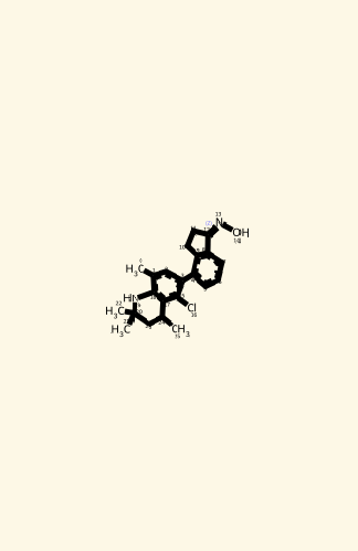 Cc1cc(-c2cccc3c2CC/C3=N/O)c(Cl)c2c1NC(C)(C)CC2C